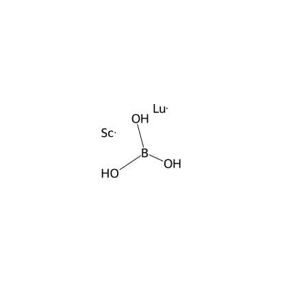 OB(O)O.[Lu].[Sc]